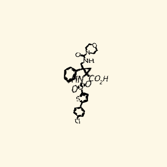 O=C(NCC1(c2ccccc2)CC1(NS(=O)(=O)c1ccc(-c2ccc(Cl)cc2)s1)C(=O)O)N1CCOCC1